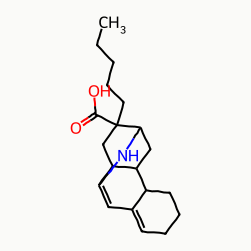 CCCCCC1(C(=O)O)CC2C3=CC4=CCCCC4C2CC1N3